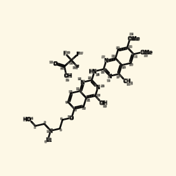 CCN(CCO)CCOc1ccc2nc(Nc3nc(C)c4cc(OC)c(OC)cc4n3)nc(O)c2c1.O=C(O)C(F)(F)F